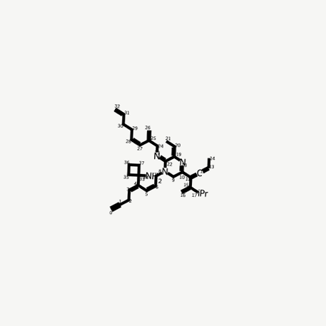 C#CC/C=C(\C=C/CN1CC(C(=C=CC)C(=C)C(C)C)=NC(=C/C)/C1=N\CC(=C)/C=C\CCC=C)C1(N)CCC1